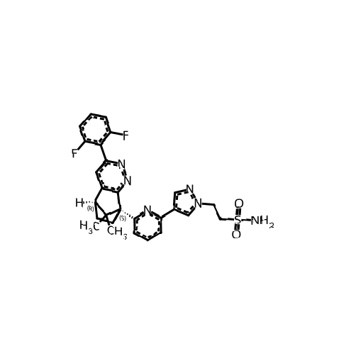 CC1(C)[C@H]2CC[C@]1(c1cccc(-c3cnn(CCS(N)(=O)=O)c3)n1)c1nnc(-c3c(F)cccc3F)cc12